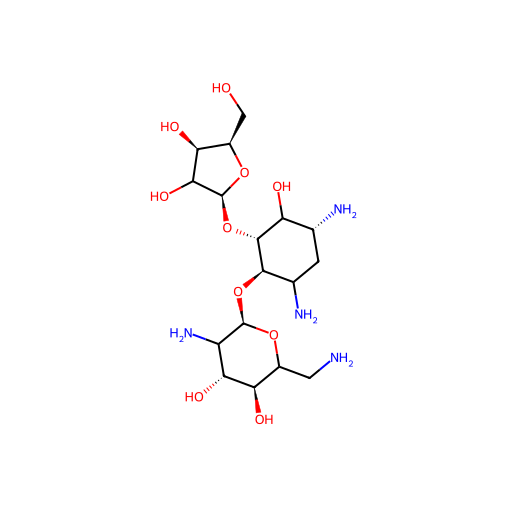 NCC1O[C@H](O[C@@H]2C(N)C[C@@H](N)C(O)[C@H]2O[C@@H]2O[C@H](CO)[C@H](O)C2O)C(N)[C@@H](O)[C@@H]1O